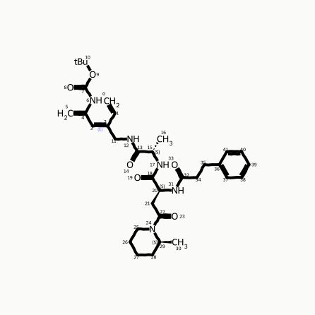 C=C/C(=C\C(=C)NC(=O)OC(C)(C)C)CNC(=O)[C@H](C)NC(=O)[C@H](CC(=O)N1CCCC[C@@H]1C)NC(=O)CCc1ccccc1